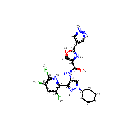 O=C(Nc1cn(C2CCCCC2)nc1-c1nc(F)c(F)cc1F)c1coc(-c2cn[nH]c2)n1